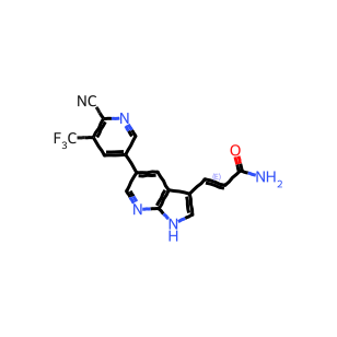 N#Cc1ncc(-c2cnc3[nH]cc(/C=C/C(N)=O)c3c2)cc1C(F)(F)F